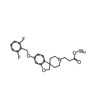 CC(C)(C)OC(=O)CCN1CCC2(CC1)COc1cc(OCc3c(F)cccc3F)ccc12